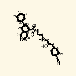 N#Cc1ccc(CC(O)CNCCNS(=O)(=O)c2cc(-c3ccccc3)cc3cnccc23)cc1